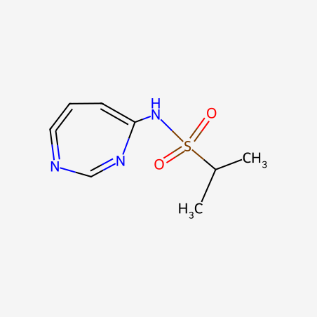 CC(C)S(=O)(=O)NC1=CC=C=NC=N1